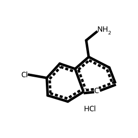 Cl.NCc1cccc2ccc(Cl)cc12